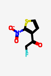 O=C(CF)c1ccsc1[N+](=O)[O-]